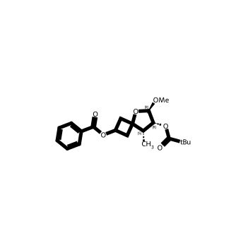 CO[C@@H]1OC2(CC(OC(=O)c3ccccc3)C2)[C@@H](C)[C@H]1OC(=O)C(C)(C)C